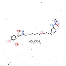 CC(=O)O.NC(=O)Nc1cccc(CCCOCCCCCCCNC[C@H](O)c2ccc(O)c(CO)c2)c1